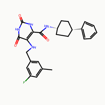 Cc1cc(F)cc(CNc2c(C(=O)N[C@H]3CC[C@@H](c4ccccc4)CC3)[nH]c(=O)[nH]c2=O)c1